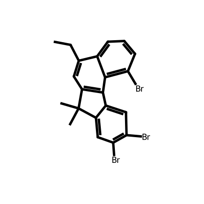 CCc1cc2c(c3c(Br)cccc13)-c1cc(Br)c(Br)cc1C2(C)C